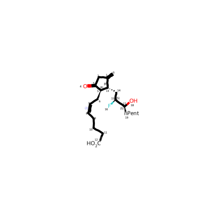 C=C1CC(=O)[C@H](C/C=C\CCCC(=O)O)[C@H]1C[C@H](F)[C@@H](O)CCCCC